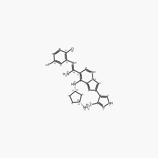 Cc1n[nH]cc1-c1cc2c(N[C@H]3CC[C@@H](N)C3)c(C(N)=Nc3cc(F)ccc3Cl)cnn2c1